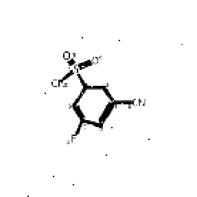 N#CC1=CC(F)=CC(S(=O)(=O)Cl)C1